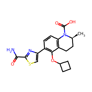 C[C@H]1CCc2c(ccc(-c3csc(C(N)=O)n3)c2OC2CCC2)N1C(=O)O